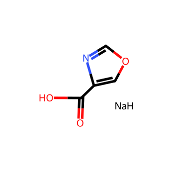 O=C(O)c1cocn1.[NaH]